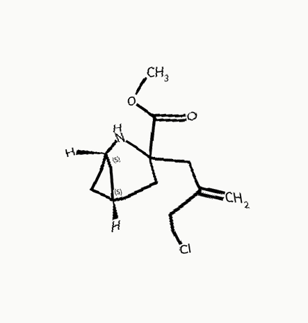 C=C(CCl)CC1(C(=O)OC)C[C@@H]2C[C@@H]2N1